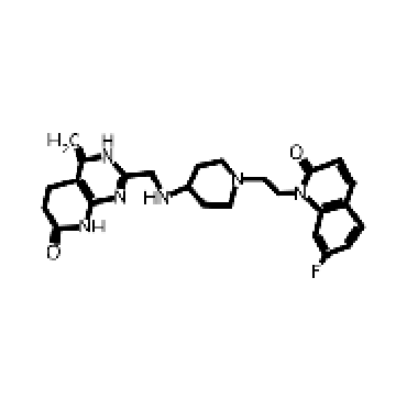 C=C1NC(CNC2CCN(CCn3c(=O)ccc4ccc(F)cc43)CC2)=NC2=C1CCC(=O)N2